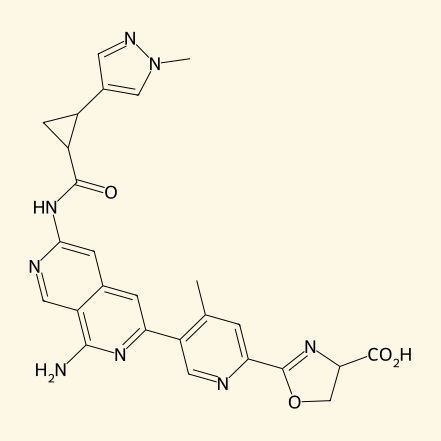 Cc1cc(C2=NC(C(=O)O)CO2)ncc1-c1cc2cc(NC(=O)C3CC3c3cnn(C)c3)ncc2c(N)n1